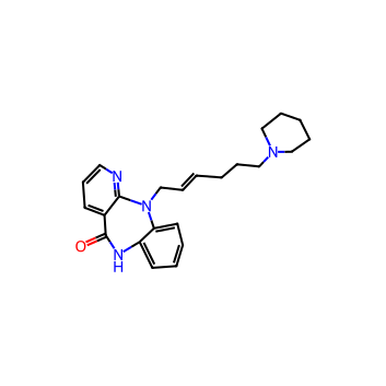 O=C1Nc2ccccc2N(CC=CCCCN2CCCCC2)c2ncccc21